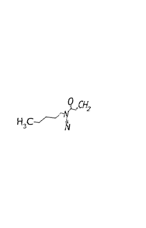 C=CC(=O)N(C#N)CCCCC